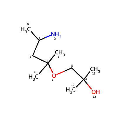 CC(N)CC(C)(C)OCC(C)(C)O